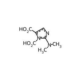 CN(C)c1ncc(C(=O)O)n1C(=O)O